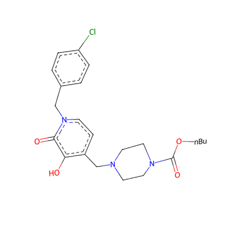 CCCCOC(=O)N1CCN(Cc2ccn(Cc3ccc(Cl)cc3)c(=O)c2O)CC1